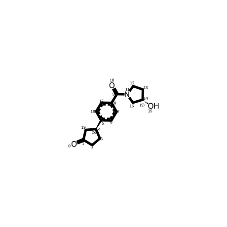 O=C1CC[C@H](c2ccc(C(=O)N3CC[C@H](O)C3)cc2)C1